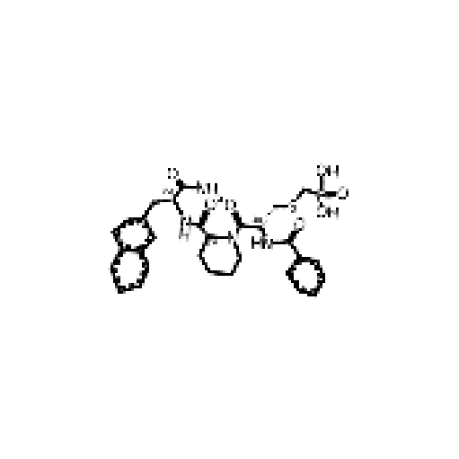 NC(=O)[C@H](Cc1ccc2ccccc2c1)NC(=O)[C@@H]1CCCCN1C(=O)[C@H](CSCP(=O)(O)O)NC(=O)c1ccccc1